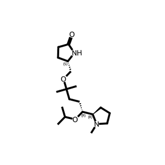 CC(C)O[C@H](CCC(C)(C)OC[C@@H]1CCC(=O)N1)[C@H]1CCCN1C